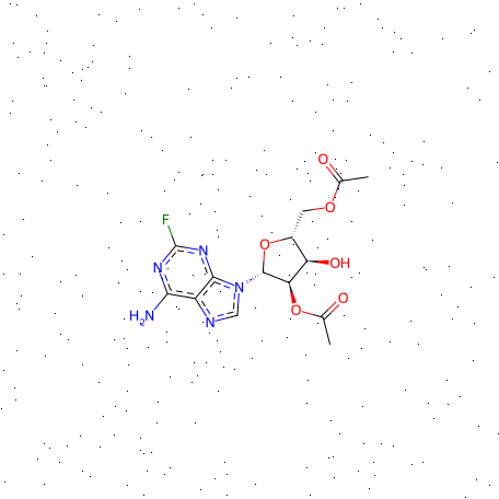 CC(=O)OC[C@H]1O[C@@H](n2cnc3c(N)nc(F)nc32)[C@H](OC(C)=O)[C@@H]1O